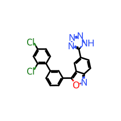 Clc1ccc(-c2cccc(-c3onc4ccc(-c5nnn[nH]5)cc34)c2)c(Cl)c1